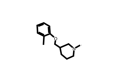 [CH2]N1CCCC(COc2ccccc2C)C1